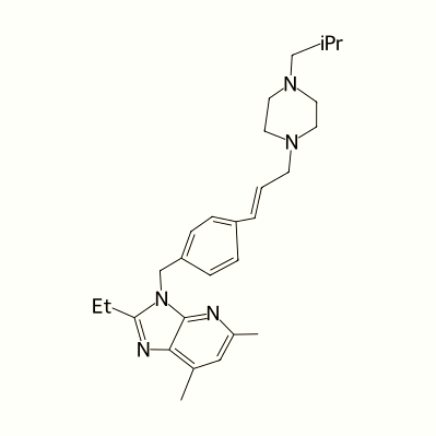 CCc1nc2c(C)cc(C)nc2n1Cc1ccc(/C=C/CN2CCN(CC(C)C)CC2)cc1